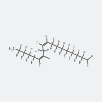 F[C](F)C(F)(F)C(F)(F)C(F)(F)C(F)(F)C(F)(F)C(F)(F)C(F)(F)/C(F)=C(/F)C(F)(F)/C(F)=C(/F)C(F)(F)C(F)(F)C(F)(F)C(F)(F)C(F)(F)F